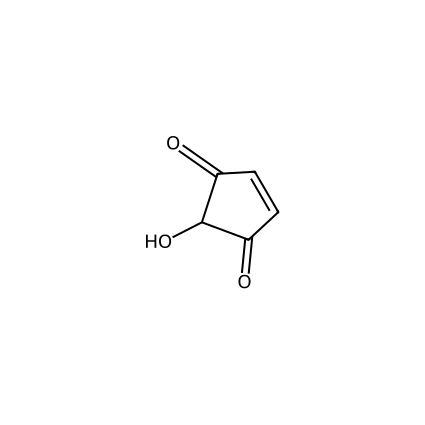 O=C1C=CC(=O)C1O